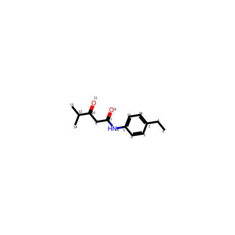 CCc1ccc(NC(=O)CC(=O)C(C)C)cc1